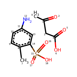 CC(=O)CC(=O)O.Cc1ccc(N)cc1S(=O)(=O)O